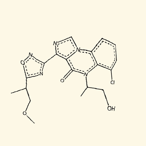 COCC(C)c1nc(-c2ncn3c2c(=O)n(C(C)CO)c2c(Cl)cccc23)no1